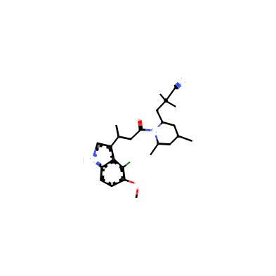 COc1ccc2[nH]cc(C(C)CC(=O)N3C(C)CC(C)CC3CC(C)(C)C#N)c2c1Cl